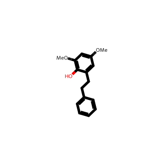 COc1cc(CCc2ccccc2)c(O)c(OC)c1